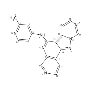 Cc1cc(Nc2nc3cnccc3c3nn4cnccc4c23)ccn1